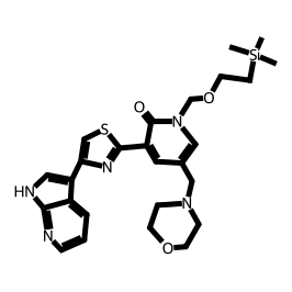 C[Si](C)(C)CCOCn1cc(CN2CCOCC2)cc(-c2nc(-c3c[nH]c4ncccc34)cs2)c1=O